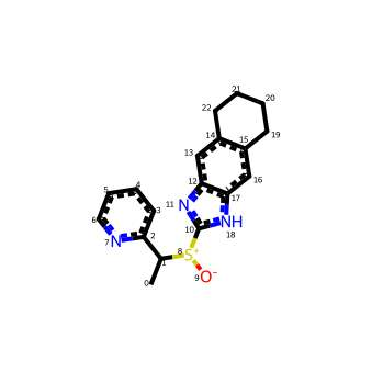 CC(c1ccccn1)[S+]([O-])c1nc2cc3c(cc2[nH]1)CCCC3